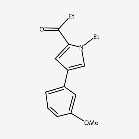 CCC(=O)c1cc(-c2cccc(OC)c2)cn1CC